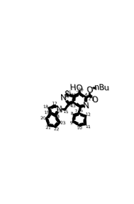 CCCCOC(=O)c1nc(-c2ccccc2)c2c(Cn3ccc4ccccc43)nsc2c1O